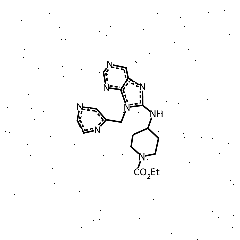 CCOC(=O)N1CCC(Nc2nc3cncnc3n2Cc2cnccn2)CC1